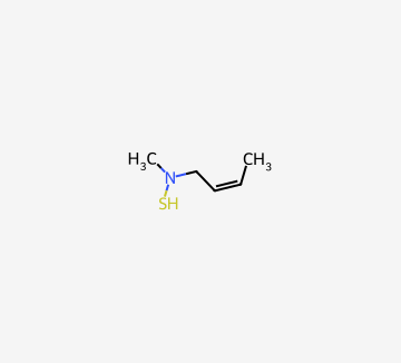 C/C=C\CN(C)S